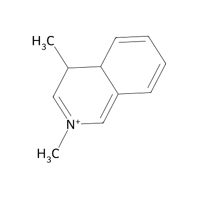 CC1C=[N+](C)C=C2C=CC=CC21